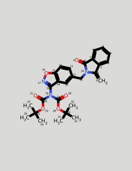 C=C1c2ccccc2C(=O)N1Cc1ccc2onc(N(C(=O)OC(C)(C)C)C(=O)OC(C)(C)C)c2c1